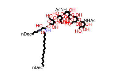 CCCCCCCCCCCCC/C=C/[C@@H](O)[C@H](CO[C@@H]1OC(CO)[C@@H](O[C@@H]2OC(CO)[C@H](O)[C@H](O[C@@H]3OC(CO)[C@@H](O[C@@H]4OC(CO)[C@H](O)[C@H](O[C@@H]5OC(CO)[C@H](O)[C@H](O)C5NC(C)=O)C4O)[C@H](O)C3NC(C)=O)C2O)[C@H](O)C1O)NC(=O)CCCCCCCCCCCCCCCCCCCCCCCCC